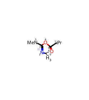 C/N=C(/NC)OC(=O)C(C)C